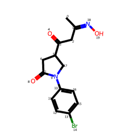 C/C(CC(=O)C1CC(=O)N(c2ccc(Br)cc2)C1)=N/O